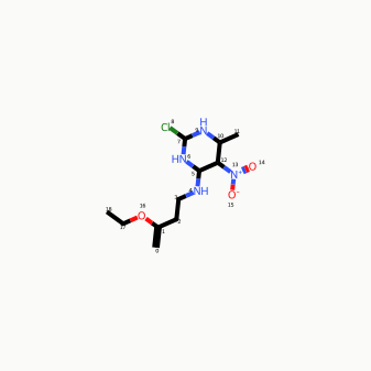 C=C(CCNC1NC(Cl)NC(C)C1[N+](=O)[O-])OCC